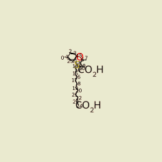 Cc1ccc(OC(C)CCC(=O)O)c(SCCCCCCCCCCCC(=O)O)c1